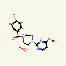 CC(C)Oc1ccnc(N2CCN(C(=O)c3ccc(F)cc3)CC2)n1.OCl